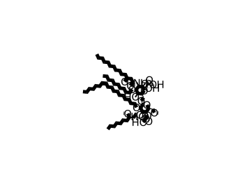 CCCCCC/C=C\CCCCCCCCCCO[C@H]1[C@H](OC[C@H]2O[C@H](OP(=O)(O)O)[C@H](NC(=O)CC(=O)CCCCCCCCCCC)[C@@H](OCCCCCCCCCC)[C@@H]2O)O[C@H](COC)[C@@H](OP(=O)(O)O)[C@@H]1OCC[C@@H](CCCCCCC)OC